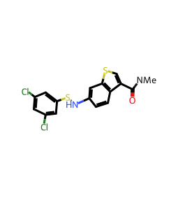 CNC(=O)c1csc2cc(NSc3cc(Cl)cc(Cl)c3)ccc12